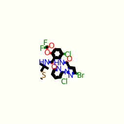 CSCC(C)(C)NC(=O)c1c(NC(=O)c2cc(Br)nn2-c2ncccc2Cl)c(Cl)cc2c1OC(F)(F)O2